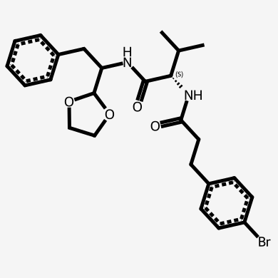 CC(C)[C@H](NC(=O)CCc1ccc(Br)cc1)C(=O)NC(Cc1ccccc1)C1OCCO1